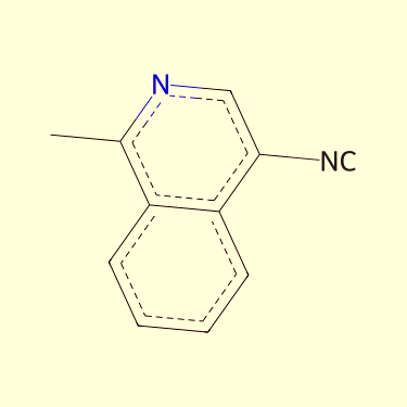 [C-]#[N+]c1cnc(C)c2ccccc12